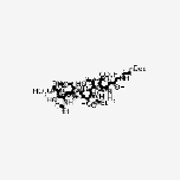 CCCCCCCCCCCCNCC(O)C1OC(OC(CO)C(O)C2OC(OC(CO)C(O)C3OC([C@@H](O)C(=O)O)C(O)C3NC(=O)CC)(C(=O)O)CC(O)C2NC(=O)CC)(C(=O)O)CC(O)C1N